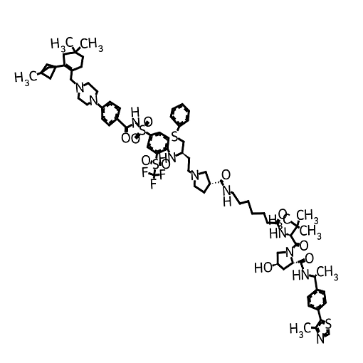 Cc1ncsc1-c1ccc([C@H](C)NC(=O)[C@@H]2C[C@@H](O)CN2C(=O)[C@@H](NC(=O)CCCCCCNC(=O)[C@@H]2CCN(CC[C@H](CSc3ccccc3)Nc3ccc(S(=O)(=O)NC(=O)c4ccc(N5CCN(CC6=C(C78CC(C)(C7)C8)CC(C)(C)CC6)CC5)cc4)cc3S(=O)(=O)C(F)(F)F)C2)C(C)(C)C)cc1